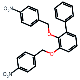 O=[N+]([O-])c1ccc(COc2cccc(-c3ccccc3)c2OCc2ccc([N+](=O)[O-])cc2)cc1